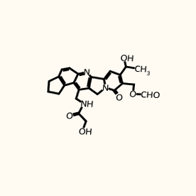 CC(O)c1cc2n(c(=O)c1COC=O)Cc1c-2nc2ccc3c(c2c1CNC(=O)CO)CCC3